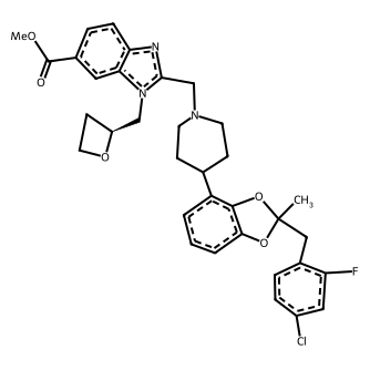 COC(=O)c1ccc2nc(CN3CCC(c4cccc5c4OC(C)(Cc4ccc(Cl)cc4F)O5)CC3)n(C[C@@H]3CCO3)c2c1